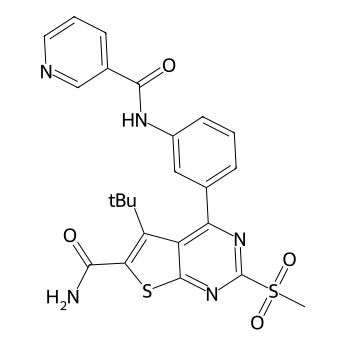 CC(C)(C)c1c(C(N)=O)sc2nc(S(C)(=O)=O)nc(-c3cccc(NC(=O)c4cccnc4)c3)c12